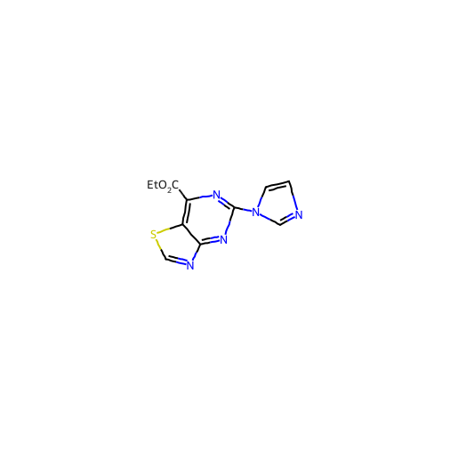 CCOC(=O)c1nc(-n2ccnc2)nc2ncsc12